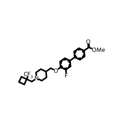 COC(=O)c1ccc(-c2ccc(OCC3CCN(CC4(C(F)(F)F)CCC4)CC3)c(F)c2)cc1